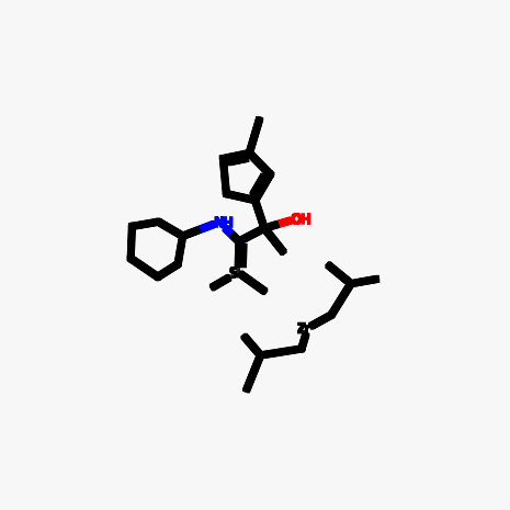 CC(C)[CH2][Zr][CH2]C(C)C.CC1=CCC(C(C)(O)C(NC2CCCCC2)=[Si](C)C)=C1